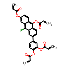 C=CC(=O)Oc1ccc2c(OC(=O)C=C)c3ccc(-c4ccc(OC(=O)C=C)c(OC(=O)C=C)c4)cc3c(F)c2c1